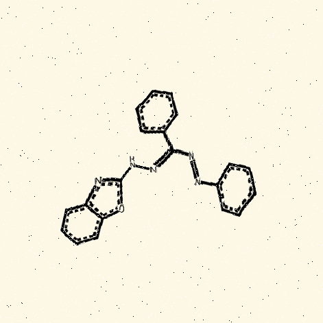 c1ccc(/N=N/C(=N/Nc2nc3ccccc3o2)c2ccccc2)cc1